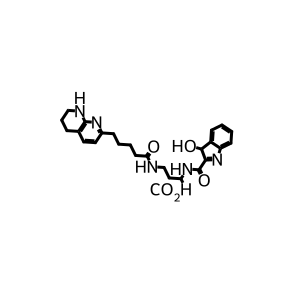 O=C(CCCCc1ccc2c(n1)NCCC2)NCCC(NC(=O)C1=Nc2ccccc2C1O)C(=O)O